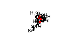 CO[C@@]12CC[C@@]3(C[C@@H]1[C@](C)(O)C(C)(C)C)[C@H]1Cc4ccc(O)c5c4[C@@]3(CCN1C(=O)CNC(=O)CBr)[C@H]2O5